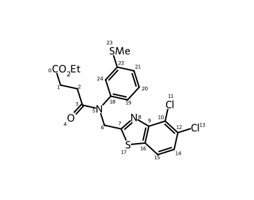 CCOC(=O)CCC(=O)N(Cc1nc2c(Cl)c(Cl)ccc2s1)c1cccc(SC)c1